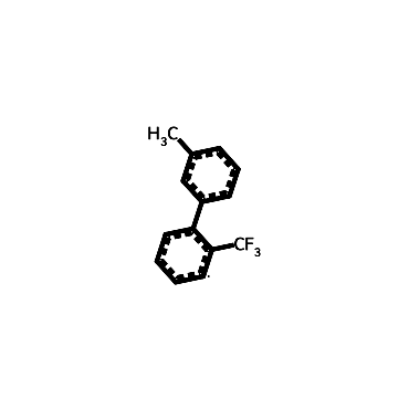 Cc1cccc(-c2ccc[c]c2C(F)(F)F)c1